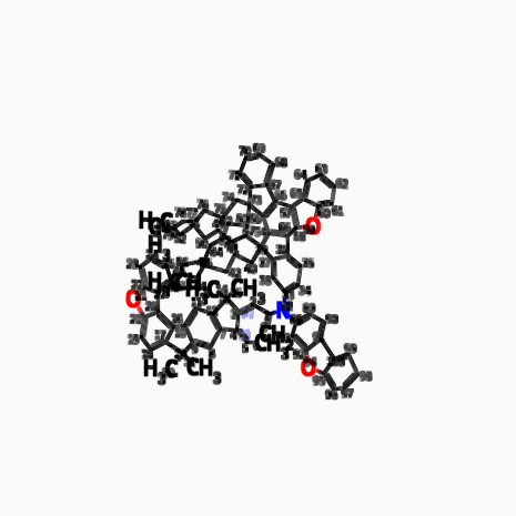 C=C(/C=C1\C(=C/C)c2cc3c(cc2C1(C)C)-c1c(ccc2oc4ccccc4c12)C3(C)C)N(c1ccc2c(c1)C(CCCCCCC)(CCCCCCC)c1c3c(c4c(oc5ccccc54)c1-2)-c1ccccc1C3(CCCCCCC)CCCCCCC)c1ccc2c(c1)oc1ccccc12